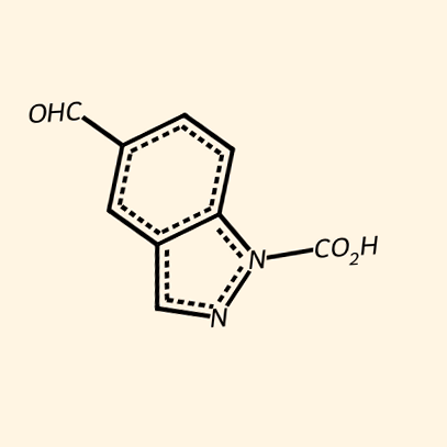 O=Cc1ccc2c(cnn2C(=O)O)c1